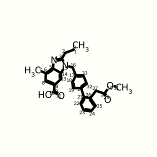 CCCc1nc2c(C)cc(C(=O)O)cc2n1Cc1ccc(-c2ccccc2CC(=O)OC)cc1